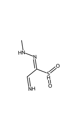 CN/N=C(\C=N)[SH](=O)=O